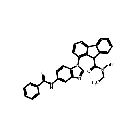 CCCN(CC(F)(F)F)C(=O)C1c2ccccc2-c2cccc(-n3cnc4cc(NC(=O)c5ccccc5)ccc43)c21